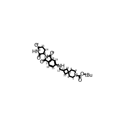 CC(C)(C)OC(=O)N1CCC2(CC1)CC(CNc1ccc3c(c1)C(=O)N(C1CCC(=O)NC1=O)C3=O)C2